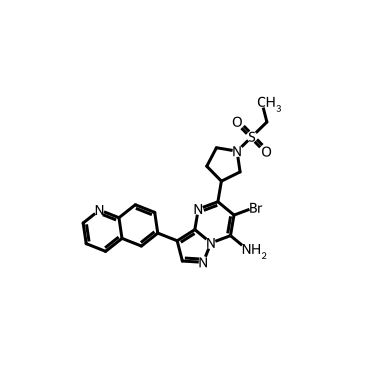 CCS(=O)(=O)N1CCC(c2nc3c(-c4ccc5ncccc5c4)cnn3c(N)c2Br)C1